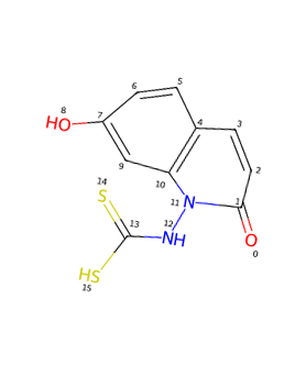 O=c1ccc2ccc(O)cc2n1NC(=S)S